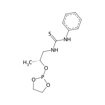 C[C@H](CNC(=S)Nc1ccccc1)OP1OCCO1